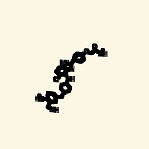 CNC(=O)COc1ccc(-c2nc3c(NC4CCN(Cc5ccc(NC)c(C=N)c5)CC4)c(Cl)ccc3[nH]2)cc1